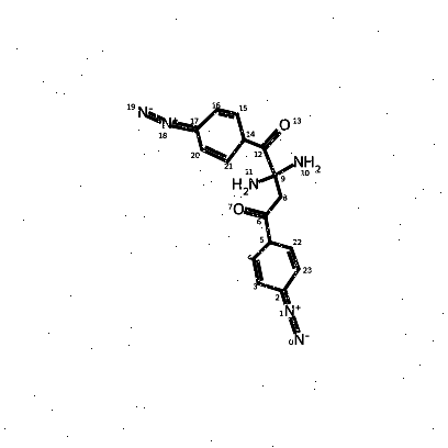 [N-]=[N+]=C1C=CC(C(=O)CC(N)(N)C(=O)C2C=CC(=[N+]=[N-])C=C2)C=C1